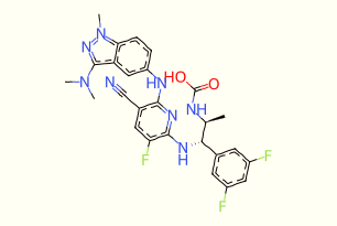 C[C@H](NC(=O)O)[C@@H](Nc1nc(Nc2ccc3c(c2)c(N(C)C)nn3C)c(C#N)cc1F)c1cc(F)cc(F)c1